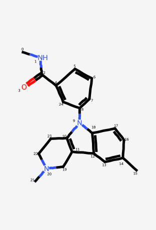 CNC(=O)c1cccc(-n2c3c(c4cc(C)ccc42)CN(C)CC3)c1